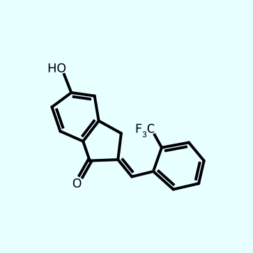 O=C1C(=Cc2ccccc2C(F)(F)F)Cc2cc(O)ccc21